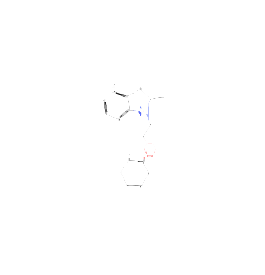 CC1Cc2ccccc2N1CCOC1CCCCC1